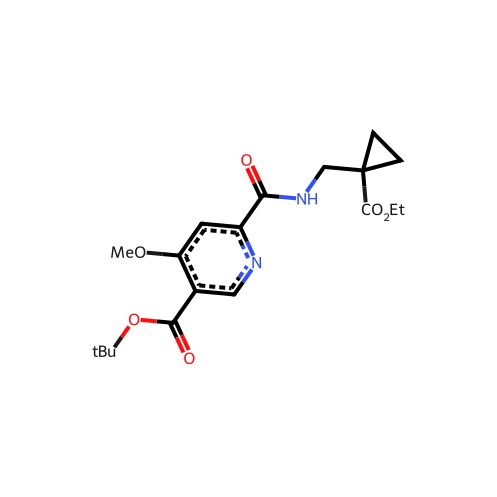 CCOC(=O)C1(CNC(=O)c2cc(OC)c(C(=O)OC(C)(C)C)cn2)CC1